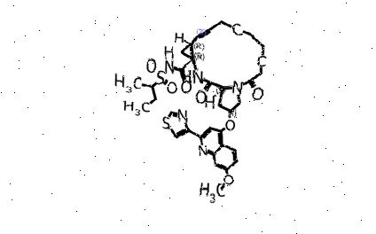 CCC(C)S(=O)(=O)NC(=O)[C@@]12C[C@@H]1/C=C\CCCCCCC(=O)N1C[C@H](Oc3cc(-c4cscn4)nc4cc(OC)ccc34)C[C@H]1C(=O)N2